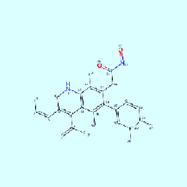 C=C(F)C1=C(/C=C\C)CNc2c(C)c(CC(=O)N=O)c(C(/C=C\C(C)C)=C/CC)c(C)c21